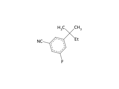 CCC(C)(C)c1cc(F)cc(C#N)c1